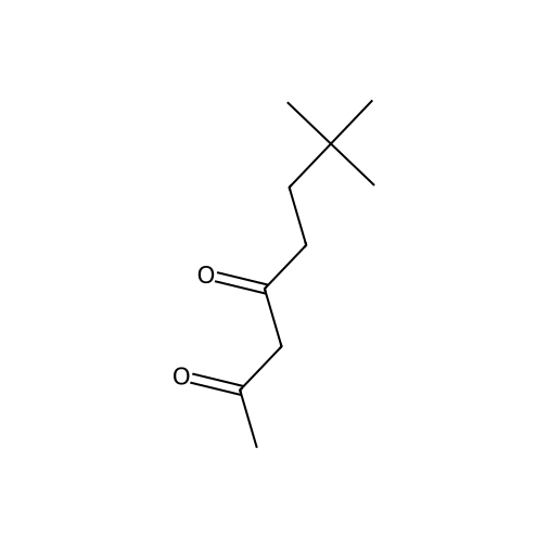 CC(=O)CC(=O)CCC(C)(C)C